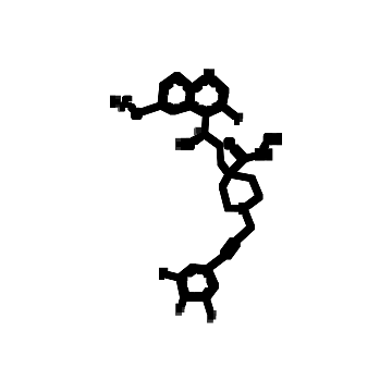 COc1ccc2ncc(F)c([C@H](O)CCC3(C(=O)NO)CCN(CC#Cc4cc(F)c(F)c(F)c4)CC3)c2c1